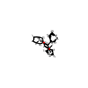 CC(C)=CCN1C2CCC1CC(=C(c1ccsc1)c1ccsc1)C2